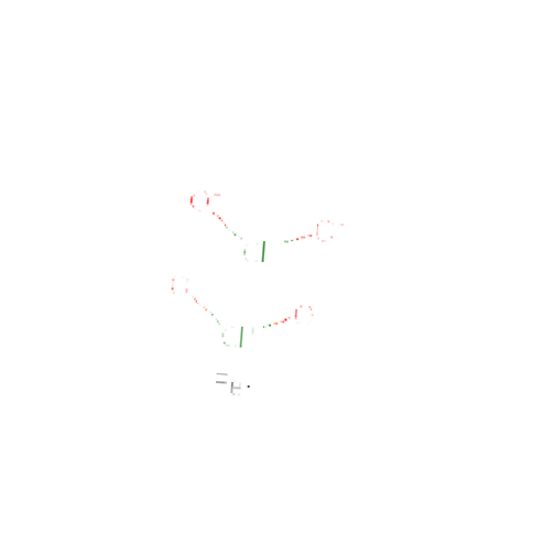 [Fe+2].[O-][Cl+][O-].[O-][Cl+][O-]